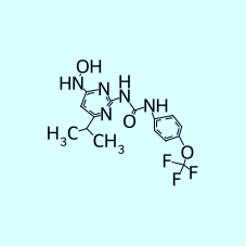 CC(C)c1cc(NO)nc(NC(=O)Nc2ccc(OC(F)(F)F)cc2)n1